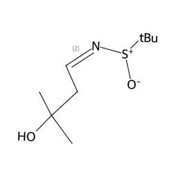 CC(C)(O)C/C=N\[S+]([O-])C(C)(C)C